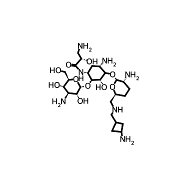 NC[C@H](O)C(=O)N[C@@H]1C[C@H](N)C(O[C@H]2O[C@H](CNCC3CC(N)C3)CC[C@H]2N)[C@H](O)[C@H]1O[C@H]1O[C@H](CO)[C@@H](O)[C@H](N)[C@H]1O